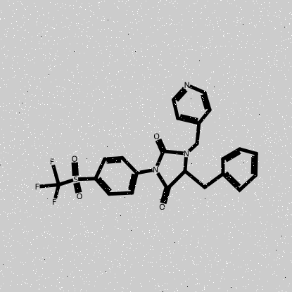 O=C1C(Cc2ccccc2)N(Cc2ccncc2)C(=O)N1c1ccc(S(=O)(=O)C(F)(F)F)cc1